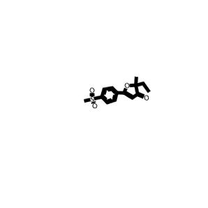 CCC1(C)OC(c2ccc(S(C)(=O)=O)cc2)=CC1=O